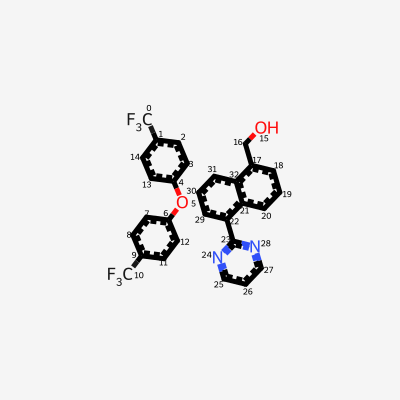 FC(F)(F)c1ccc(Oc2ccc(C(F)(F)F)cc2)cc1.OCc1cccc2c(-c3ncccn3)cccc12